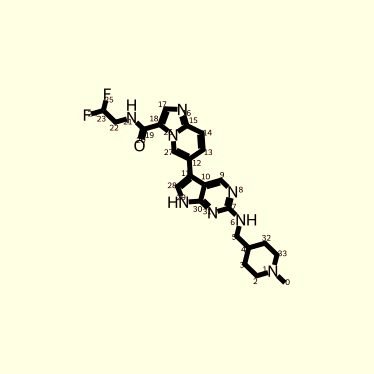 CN1CCC(CNc2ncc3c(-c4ccc5ncc(C(=O)NCC(F)F)n5c4)c[nH]c3n2)CC1